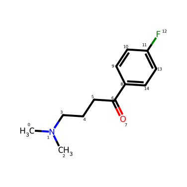 CN(C)CCCC(=O)c1ccc(F)cc1